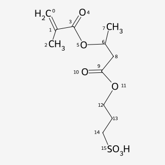 C=C(C)C(=O)OC(C)CC(=O)OCCCS(=O)(=O)O